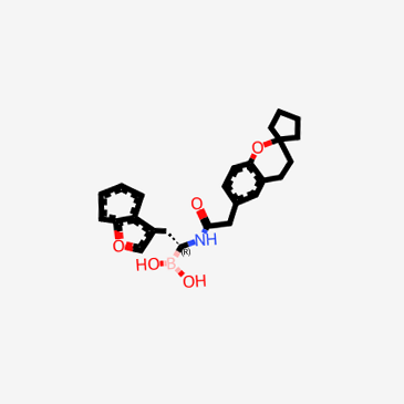 O=C(Cc1ccc2c(c1)CCC1(CCCC1)O2)N[C@@H](Cc1coc2ccccc12)B(O)O